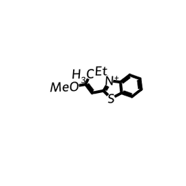 CC[n+]1c(/C=C(\C)OC)sc2ccccc21